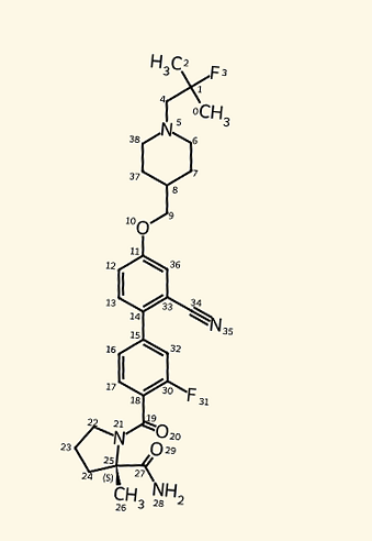 CC(C)(F)CN1CCC(COc2ccc(-c3ccc(C(=O)N4CCC[C@@]4(C)C(N)=O)c(F)c3)c(C#N)c2)CC1